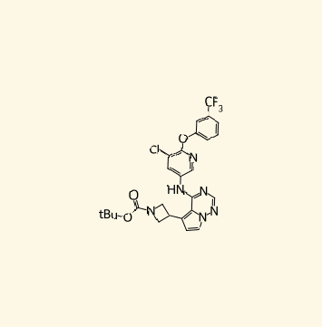 CC(C)(C)OC(=O)N1CC(c2ccn3ncnc(Nc4cnc(Oc5cccc(C(F)(F)F)c5)c(Cl)c4)c23)C1